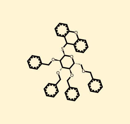 c1ccc(COC[C@H]2O[C@H](SC3c4ccccc4Oc4ccccc43)[C@H](OCc3ccccc3)[C@@H](OCc3ccccc3)[C@@H]2OCc2ccccc2)cc1